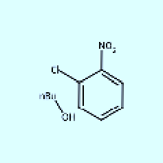 CCCCO.O=[N+]([O-])c1ccccc1Cl